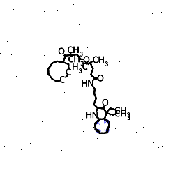 CCC1(CC)C(=O)C(CCCCNC(=O)CCC(C)(C)OCCC(C)(C)C(=O)C2CCCCCCCCCC2)NC2=C/C=C\C=C/C=C\21